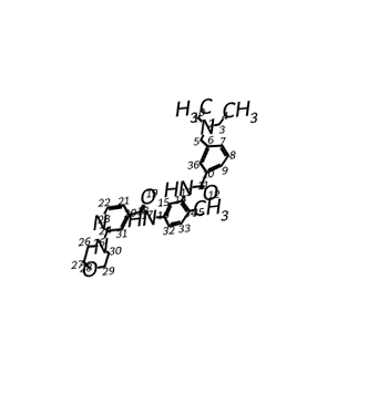 CCN(CC)Cc1cccc(C(=O)Nc2cc(NC(=O)c3ccnc(N4CCOCC4)c3)ccc2C)c1